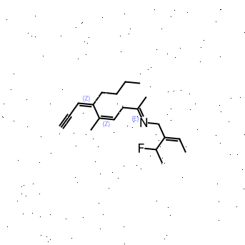 C#C/C=C(CCCC)\C(C)=C/C/C(C)=N/CC(=CC)C(C)F